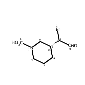 O=CC(Br)[C@@H]1CCCN(C(=O)O)C1